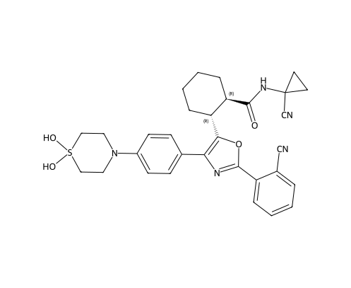 N#Cc1ccccc1-c1nc(-c2ccc(N3CCS(O)(O)CC3)cc2)c([C@@H]2CCCC[C@H]2C(=O)NC2(C#N)CC2)o1